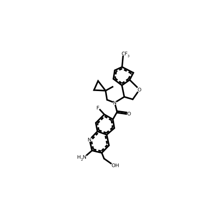 CC1(CN(C(=O)c2cc3cc(CO)c(N)nc3cc2F)C2COc3cc(C(F)(F)F)ccc32)CC1